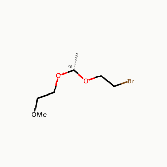 COCCO[C@H](C)OCCBr